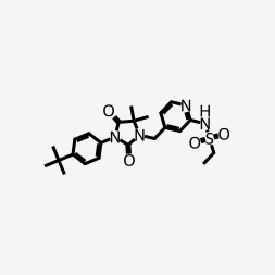 CCS(=O)(=O)Nc1cc(CN2C(=O)N(c3ccc(C(C)(C)C)cc3)C(=O)C2(C)C)ccn1